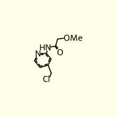 COCC(=O)Nc1cc(CCl)ccn1